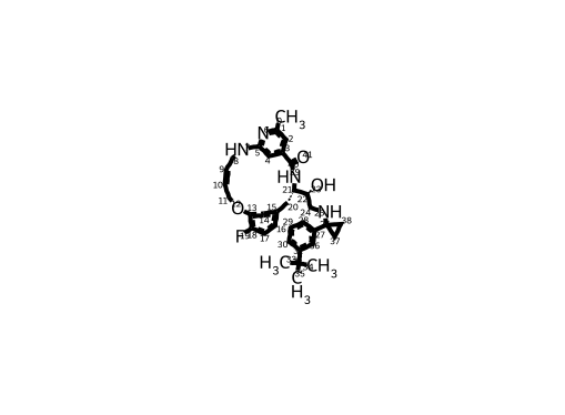 Cc1cc2cc(n1)NCC=CCOc1cc(ccc1F)C[C@@H]([C@H](O)CNC1(c3cccc(C(C)(C)C)c3)CC1)NC2=O